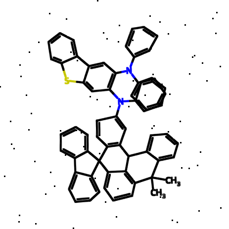 CC1(C)c2ccccc2C2c3cc(N(c4ccccc4)c4cc5sc6ccccc6c5cc4N(c4ccccc4)c4ccccc4)ccc3C3(c4ccccc4-c4ccccc43)c3cccc1c32